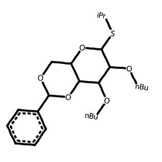 CCCCOC1C(SC(C)C)OC2COC(c3ccccc3)OC2C1OCCCC